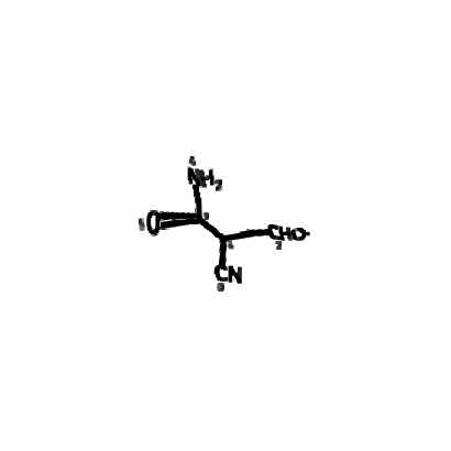 N#CC([C]=O)C(N)=O